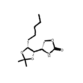 CCCCC[C@H]1OC(C)(C)O[C@H]1[C@@H]1COC(=O)N1